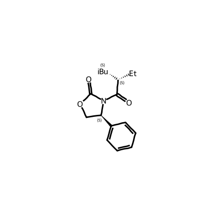 CC[C@H](C(=O)N1C(=O)OC[C@@H]1c1ccccc1)[C@@H](C)CC